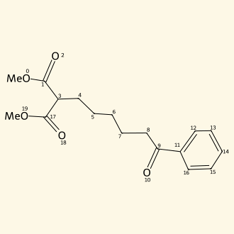 COC(=O)C(CCCCCC(=O)c1ccccc1)C(=O)OC